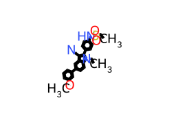 CCn1c(-c2ccc(NS(=O)(=O)CC)cc2)c(C#N)c2cc(-c3cccc(OC)c3)ccc21